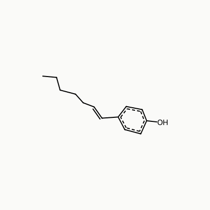 CCCCCC=Cc1ccc(O)cc1